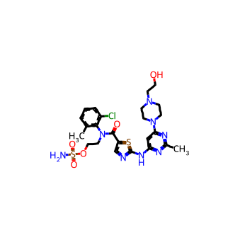 Cc1nc(Nc2ncc(C(=O)N(CCOS(N)(=O)=O)c3c(C)cccc3Cl)s2)cc(N2CCN(CCO)CC2)n1